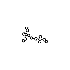 c1ccc2cc(-c3c4ccccc4c(-c4ccc(-c5ccc(-c6ccc7c(-c8ccc9ccccc9c8)c8ccccc8c(-c8ccc9ccccc9c8)c7c6)s5)cc4)c4ccccc34)ccc2c1